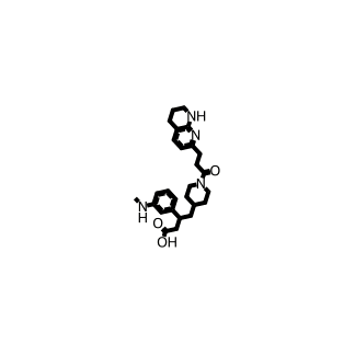 CNc1cccc(C(CC(=O)O)CC2CCN(C(=O)CCc3ccc4c(n3)NCCC4)CC2)c1